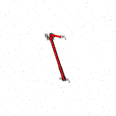 CCCCCCCCCCCCCCCC(=O)O[C@H](COC(=O)CC)CSC[C@H](N)C(=O)N[C@@H](CO)C(=O)NCCOCCOCCOCCOCCOCCOCCOCCOCCOCCOCCOCCOCCOCCOCCOCCOCCOCCOCCOCCOCCOCCOCCOCCOCCOCCOCCOCCOCCC(=O)NCC(N)=O